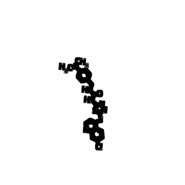 CN(C)c1ccc(CNC(=O)Nc2nnc(Sc3ccnc4cc(Cl)ccc34)s2)cc1